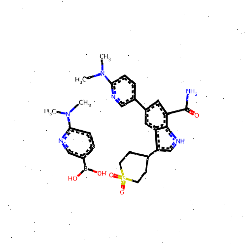 CN(C)c1ccc(-c2cc(C(N)=O)c3[nH]cc(C4CCS(=O)(=O)CC4)c3c2)cn1.CN(C)c1ccc(B(O)O)cn1